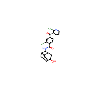 O=C(NC1C2CC3CC1CC(O)(C3)C2)c1ccc(C(=O)c2cccnc2Cl)cc1Cl